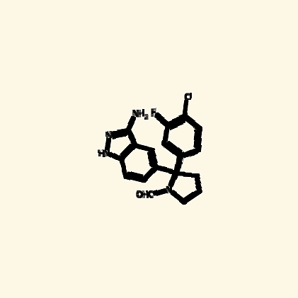 Nc1n[nH]c2ccc(C3(c4ccc(Cl)c(F)c4)CCCN3C=O)cc12